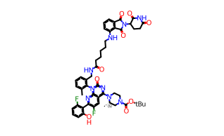 Cc1cccc(CNC(=O)CCCCCNc2cccc3c2C(=O)N(C2CCC(=O)NC2=O)C3=O)c1-n1c(=O)nc(N2CCN(C(=O)OC(C)(C)C)C[C@@H]2C)c2cc(F)c(-c3c(O)cccc3F)nc21